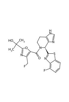 CC(C)(O)c1nc(CF)c(C(=O)N2CCc3[nH]cnc3[C@H]2c2nc3c(F)cccc3s2)o1